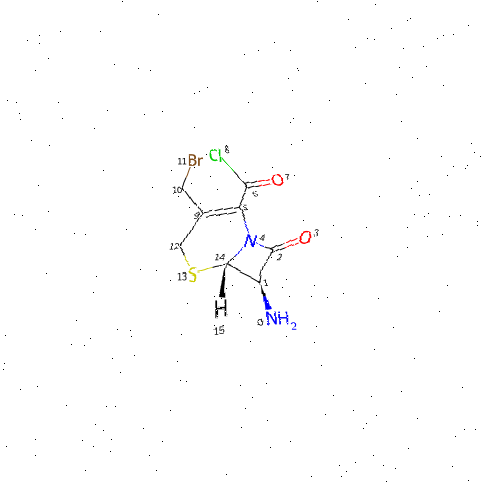 N[C@@H]1C(=O)N2C(C(=O)Cl)=C(CBr)CS[C@@H]12